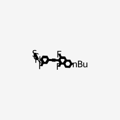 CCCCC1CCc2c(cc(F)c(C#Cc3ccc(N=C=S)c(F)c3)c2F)C1